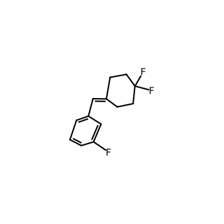 Fc1cccc(C=C2CCC(F)(F)CC2)c1